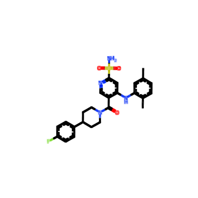 Cc1ccc(C)c(Nc2cc(S(N)(=O)=O)ncc2C(=O)N2CCC(c3ccc(F)cc3)CC2)c1